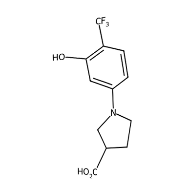 O=C(O)C1CCN(c2ccc(C(F)(F)F)c(O)c2)C1